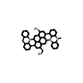 CC(C)Cc1cc2c3c(cc4c(C(C)C)cc5c6c(cc1c3c46)B1c3ccccc3N(C)c3cccc-5c31)B1c3ccccc3Cc3cccc-2c31